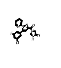 O=C1CN(C(=O)c2cc(-c3cc(F)cc(Cl)c3)n(-c3ccccn3)n2)CN1